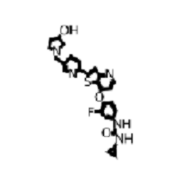 O=C(Nc1ccc(Oc2ccnc3cc(-c4ccc(CN5CCC(O)C5)cn4)sc23)c(F)c1)NC1CC1